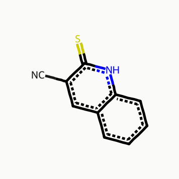 N#Cc1cc2ccccc2[nH]c1=S